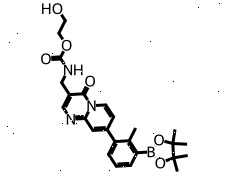 Cc1c(B2OC(C)(C)C(C)(C)O2)cccc1-c1ccn2c(=O)c(CNC(=O)OCCO)cnc2c1